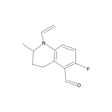 C=CN1c2ccc(F)c(C=O)c2CCC1C